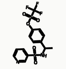 CC(NS(=O)(=O)c1cccnc1)c1ccc(OS(=O)(=O)C(F)(F)F)cc1